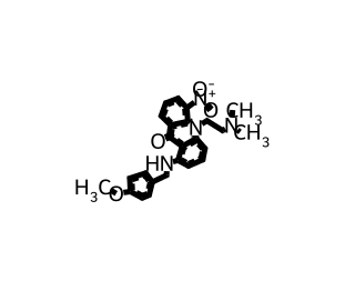 COc1ccc(CNc2cccc3c2c(=O)c2cccc([N+](=O)[O-])c2n3CCN(C)C)cc1